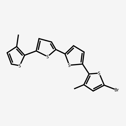 Cc1ccsc1-c1ccc(-c2ccc(-c3sc(Br)cc3C)s2)s1